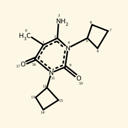 Cc1c(N)n(C2CCC2)c(=O)n(C2CCC2)c1=O